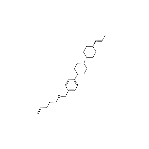 C=CCCCOCc1ccc(C2CCC([C@H]3CC[C@H](/C=C/CC)CC3)CC2)cc1